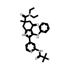 CCN(CC)C(=O)C1(C)CC(=O)c2c([nH]c(-c3ccnc(NC(=O)C(C)(C)F)c3)c2Nc2ccccc2)C1